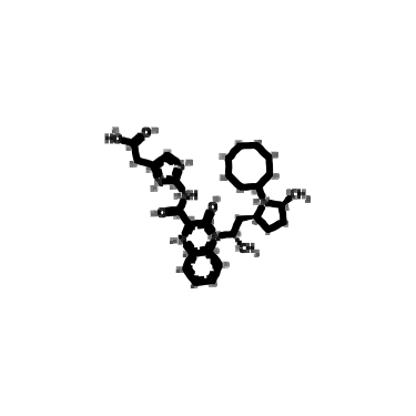 C[C@H]1CC[C@@H](C[C@H](C)n2c(=O)c(C(=O)Nc3nc(CC(=O)O)cs3)nc3ccccc32)N1C1CCCCCCC1